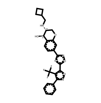 O[C@@H]1c2ccc(-c3noc(-c4onc(-c5ccccc5)c4C(F)(F)F)n3)cc2OC[C@H]1NCC1CCC1